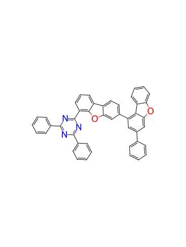 c1ccc(-c2cc(-c3ccc4c(c3)oc3c(-c5nc(-c6ccccc6)nc(-c6ccccc6)n5)cccc34)c3c(c2)oc2ccccc23)cc1